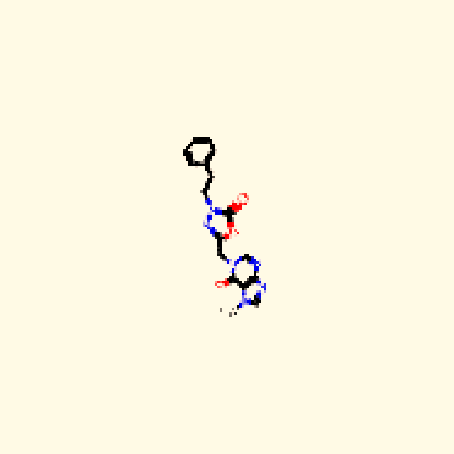 Cn1cnc2ncn(Cc3nn(CCc4ccccc4)c(=O)o3)c(=O)c21